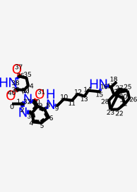 Cc1nc2cccc(NCCCCCCCNC(C)C34CC5CC(CC(C5)C3)C4)c2c(=O)n1[C@H]1CCC(=O)NC1=O